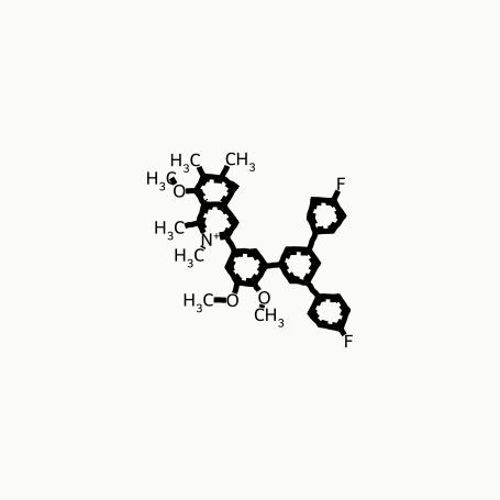 COc1cc(-c2cc3cc(C)c(C)c(OC)c3c(C)[n+]2C)cc(-c2cc(-c3ccc(F)cc3)cc(-c3ccc(F)cc3)c2)c1OC